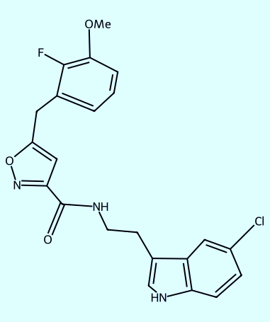 COc1cccc(Cc2cc(C(=O)NCCc3c[nH]c4ccc(Cl)cc34)no2)c1F